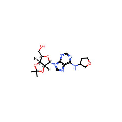 CC1(C)O[C@@H]2[C@H](O1)[C@@H](CO)O[C@H]2n1cnc2c(NC3CCOC3)ncnc21